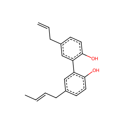 C=CCc1ccc(O)c(-c2cc(C/C=C/C)ccc2O)c1